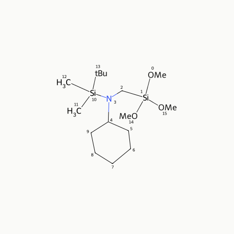 CO[Si](CN(C1CCCCC1)[Si](C)(C)C(C)(C)C)(OC)OC